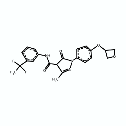 CC1=NN(c2ccc(OC3COC3)cc2)C(=O)C1C(=O)Nc1cccc(C(C)(F)F)c1